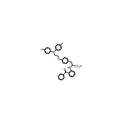 Cc1ccc(N(CCOc2ccc(CC(Nc3ccccc3C(=O)c3ccccc3)C(=O)O)cc2)c2ccc(C)cc2)cc1